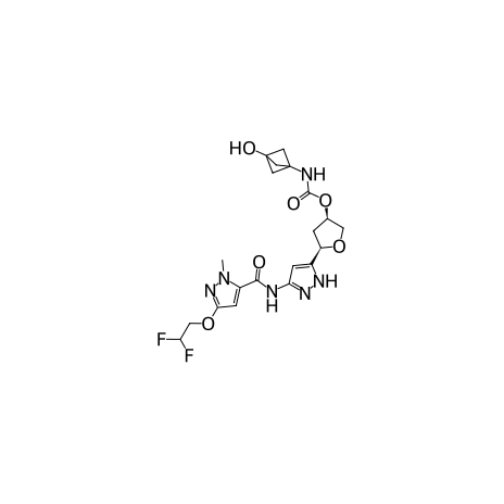 Cn1nc(OCC(F)F)cc1C(=O)Nc1cc([C@H]2C[C@@H](OC(=O)NC34CC(O)(C3)C4)CO2)[nH]n1